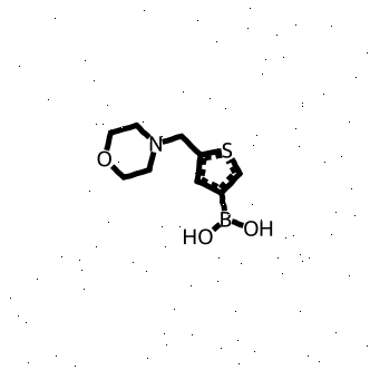 OB(O)c1csc(CN2CCOCC2)c1